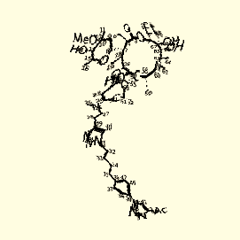 CC[C@H]1OC(=O)[C@H](C)[C@@H](C2C[C@@](C)(OC)[C@@H](O)[C@H](C)O2)[C@H](C)[C@@H](O[C@H]2C[C@@H](N(C)CCc3cn(CCCCc4ccc(-n5cc(C(C)=O)nn5)cc4)nn3)C[C@@H](C)O2)[C@](C)(O)C[C@@H](C)CN(C)[C@H](C)[C@@H](O)[C@]1(C)O